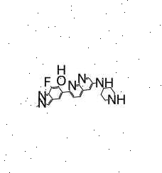 Cn1cc2cc(-c3ccc4cc(NC5CCNCC5)cnc4n3)c(O)c(F)c2n1